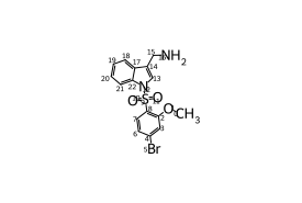 COc1cc(Br)ccc1S(=O)(=O)n1cc(CN)c2ccccc21